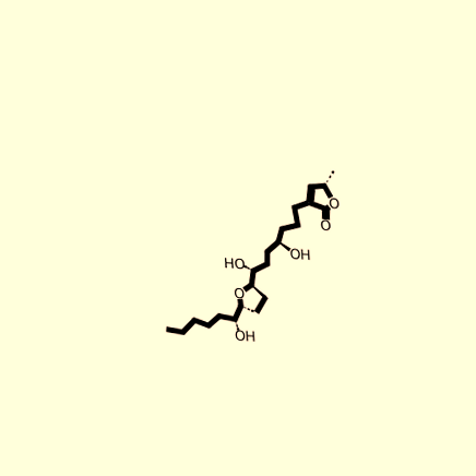 CCCCC[C@@H](O)[C@H]1CC[C@H]([C@H](O)CC[C@H](O)CCCC2=C[C@H](C)OC2=O)O1